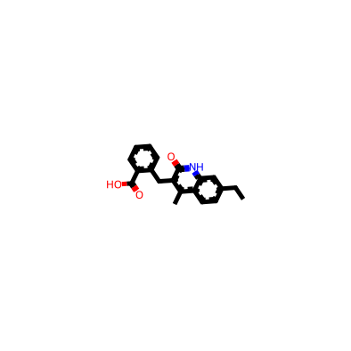 CCc1ccc2c(C)c(Cc3ccccc3C(=O)O)c(=O)[nH]c2c1